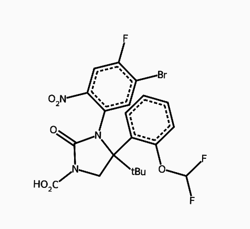 CC(C)(C)C1(c2ccccc2OC(F)F)CN(C(=O)O)C(=O)N1c1cc(Br)c(F)cc1[N+](=O)[O-]